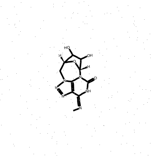 C/N=c1/[nH]c(=O)n2c3c1nnn3C[C@H]1O[C@@H]2C(O)C1O